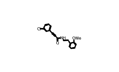 COc1ccccc1CCNC(=O)C#Cc1cccc(Cl)c1